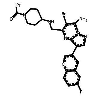 CC(C)C(=O)N1CCC(NCc2nc3c(-c4cnc5ccc(F)cc5c4)cnn3c(N)c2Br)CC1